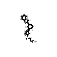 CN(CCO)c1nc(-c2cccc(-c3cn4ncccc4n3)c2)no1